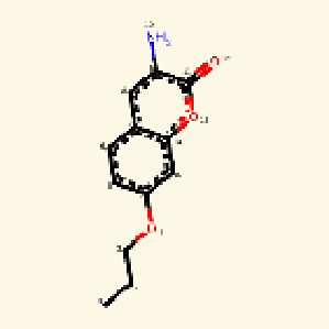 CCCOc1ccc2cc(N)c(=O)oc2c1